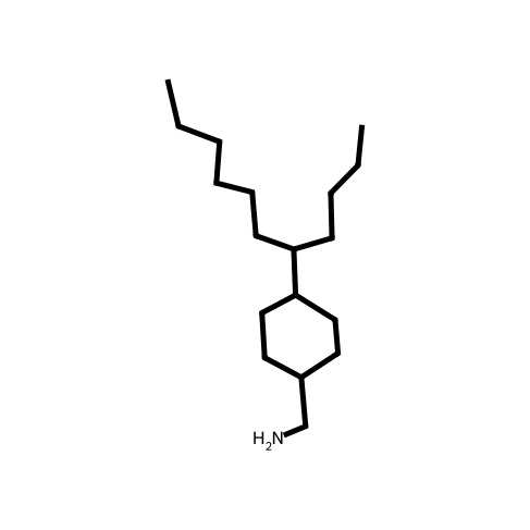 CCCCCCC(CCCC)C1CCC(CN)CC1